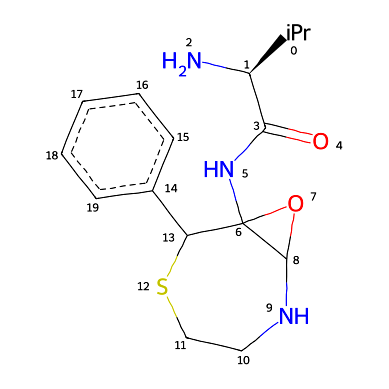 CC(C)[C@H](N)C(=O)NC12OC1NCCSC2c1ccccc1